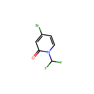 O=c1cc(Br)ccn1C(F)F